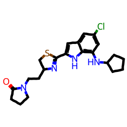 O=C1CCCN1CCC1CSC(c2cc3cc(Cl)cc(NC4CCCC4)c3[nH]2)=N1